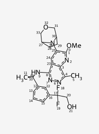 COc1nc2c(C)nnc(N[C@H](C)c3cccc(C(F)(F)CO)c3)c2cc1N1C2CCC1COC2